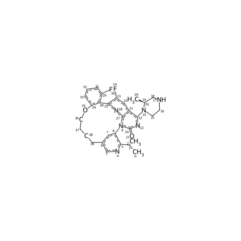 CC(C)c1ncc2cc1-n1c(=O)nc(N3CCNC[C@@H]3C)c3cc(F)c(nc31)-c1c(F)cccc1OCCCC2